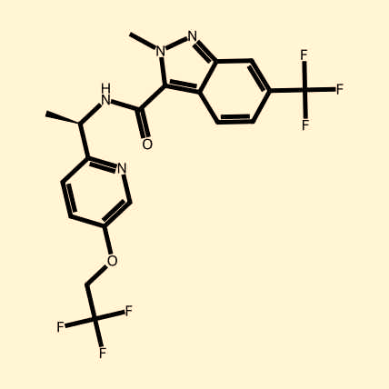 C[C@@H](NC(=O)c1c2ccc(C(F)(F)F)cc2nn1C)c1ccc(OCC(F)(F)F)cn1